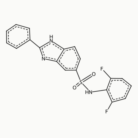 O=S(=O)(Nc1c(F)cccc1F)c1ccc2[nH]c(-c3ccccc3)nc2c1